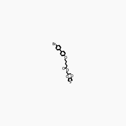 O=C(CCCCOc1ccc(-c2ccc(Br)cc2)cc1)OCC1COc2cscc2O1